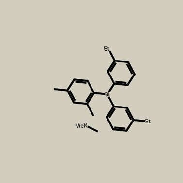 CCc1ccc[c]([Bi]([c]2cccc(CC)c2)[c]2ccc(C)cc2C)c1.CNC